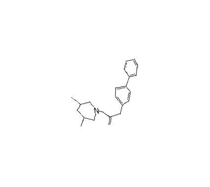 C=C(Cc1ccc(-c2ccccc2)cc1)CN1CC(C)CC(C)C1